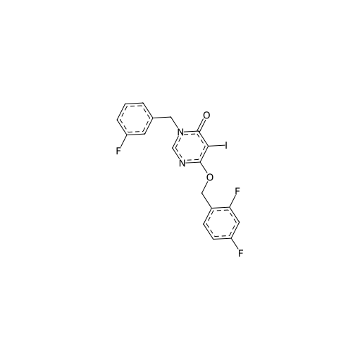 O=c1c(I)c(OCc2ccc(F)cc2F)ncn1Cc1cccc(F)c1